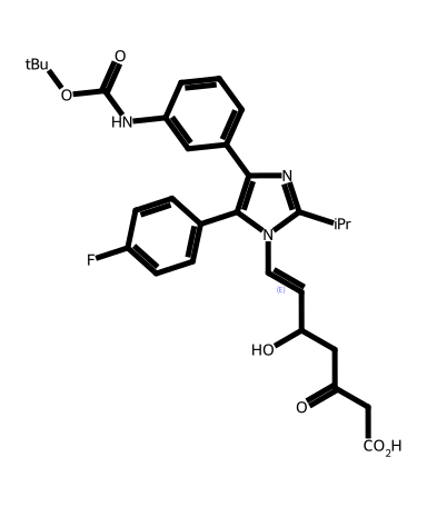 CC(C)c1nc(-c2cccc(NC(=O)OC(C)(C)C)c2)c(-c2ccc(F)cc2)n1/C=C/C(O)CC(=O)CC(=O)O